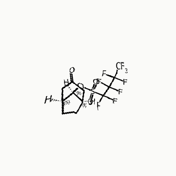 O=C1C[C@H]2CC[C@@H](C1)[C@H]2OS(=O)(=O)C(F)(F)C(F)(F)C(F)(F)C(F)(F)F